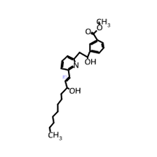 CCCCCCCCC(O)/C=C/c1cccc(CC(O)c2cccc(C(=O)OC)c2)n1